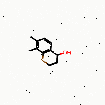 Cc1ccc2c(c1C)SCCC2O